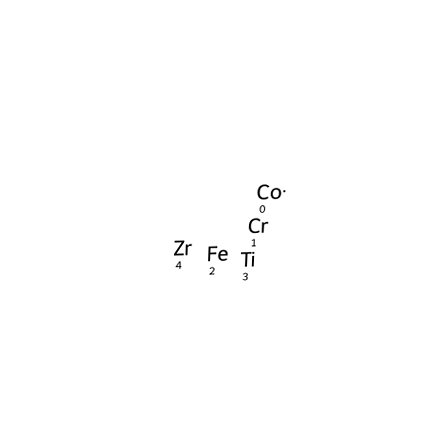 [Co].[Cr].[Fe].[Ti].[Zr]